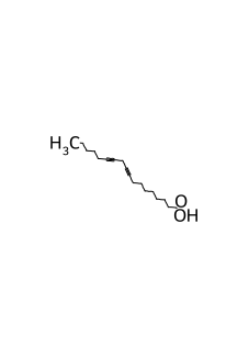 CCCCCC#CCC#CCCCCCCCC(=O)O